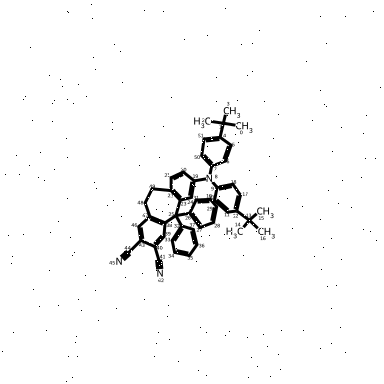 CC(C)(C)c1ccc(N(c2ccc(C(C)(C)C)cc2)c2ccc3c(c2)C(c2ccccc2)(c2ccccc2)c2cc(C#N)c(C#N)cc2CC3)cc1